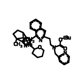 CC(C)(C)OC(=O)N(CCc1cc2ccccc2c(-c2c3c(nn2C2CCCCO2)C2(C)CCC3C2(C)C)n1)Cc1ccccn1